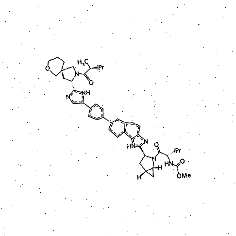 COC(=O)N[C@H](C(=O)N1[C@@H]2C[C@@H]2C[C@H]1c1nc2ccc3cc(-c4ccc(-c5cnc([C@@H]6C[C@@]7(CCCOC7)CN6C(=O)[C@@H](C)C(C)C)[nH]5)cc4)ccc3c2[nH]1)C(C)C